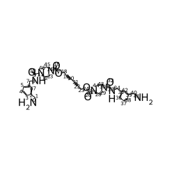 NCc1cccc(CNC(=O)N2CCN(C(=O)OCC#CC#CCOC(=O)N3CCN(C(=O)NCc4cccc(CN)c4)CC3)CC2)c1